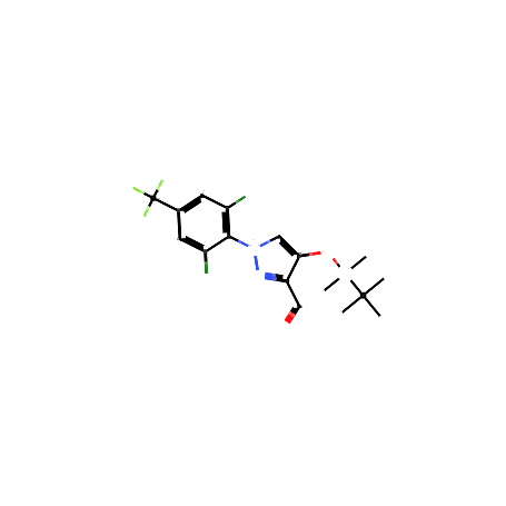 CC(C)(C)[Si](C)(C)Oc1cn(-c2c(Cl)cc(C(F)(F)F)cc2Cl)nc1C=O